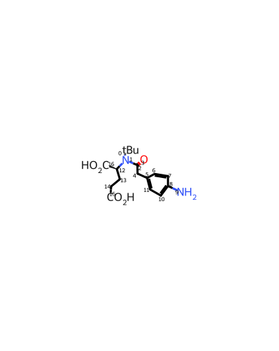 CC(C)(C)N(C(=O)Cc1ccc(N)cc1)[C@@H](CCC(=O)O)C(=O)O